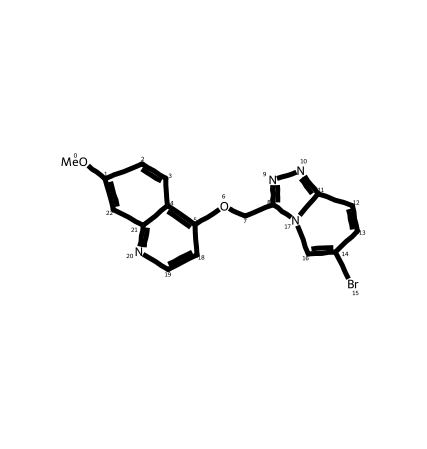 COc1ccc2c(OCc3nnc4ccc(Br)cn34)ccnc2c1